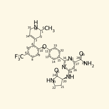 CC1CC(c2cc(C(F)(F)F)ccc2Oc2ccc(-c3nc(N[C@H]4CCNC4=O)cc(C(N)=O)n3)cc2)=CCN1